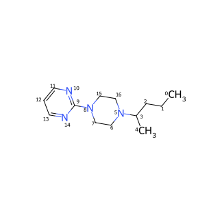 CCCC(C)N1CCN(c2ncccn2)CC1